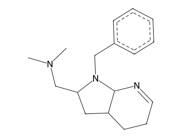 CN(C)CC1CC2CCC=NC2N1Cc1ccccc1